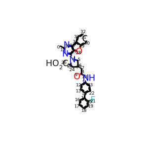 Cc1nc(N2C[C@@H](CC(=O)Nc3ccc(-c4ccccc4F)cc3)C[C@H]2C(=O)O)c2oc3ccccc3c2n1